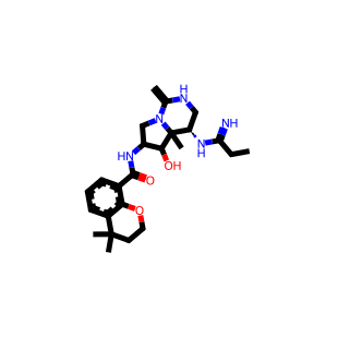 C=C1NC[C@H](NC(=N)CC)C2(C)C(O)C(NC(=O)c3cccc4c3OCCC4(C)C)CN12